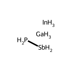 [GaH3].[InH3].[PH2][SbH2]